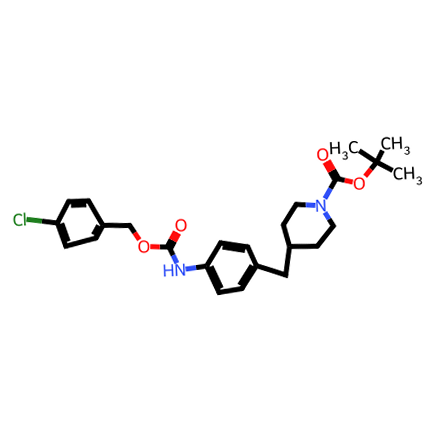 CC(C)(C)OC(=O)N1CCC(Cc2ccc(NC(=O)OCc3ccc(Cl)cc3)cc2)CC1